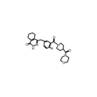 O=C(c1cc(Cc2n[nH]c(=O)c3c2CCCC3)ccc1F)N1CCC(C(=O)N2CCOCC2)CC1